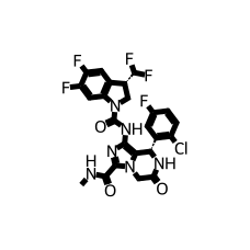 CNC(=O)c1nc(NC(=O)N2C[C@@H](C(F)F)c3cc(F)c(F)cc32)c2n1CC(=O)N[C@H]2c1cc(F)ccc1Cl